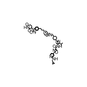 CC(C)c1nn(C2CCC(CNC[C@@H]3CN(CCCc4ccc5c(c4)n(C)c(=O)n5C4CCC(=O)NC4=O)CCO3)CC2)cc1NC(=O)c1coc(-c2ccnc(NCC3CC3)c2)n1